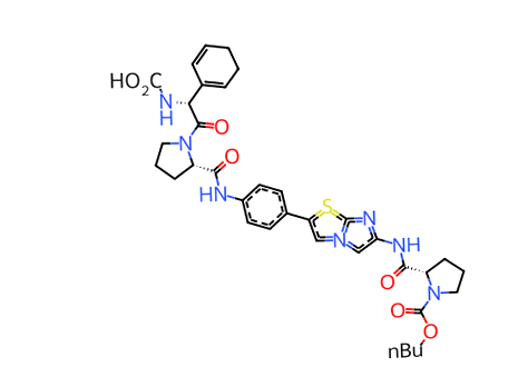 CCCCOC(=O)N1CCC[C@H]1C(=O)Nc1cn2cc(-c3ccc(NC(=O)[C@@H]4CCCN4C(=O)[C@H](NC(=O)O)C4=CCCC=C4)cc3)sc2n1